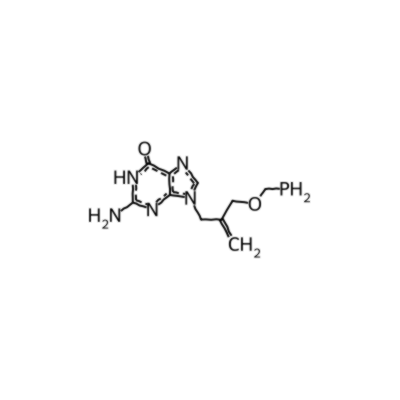 C=C(COCP)Cn1cnc2c(=O)[nH]c(N)nc21